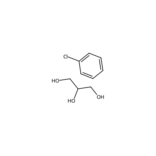 Clc1ccccc1.OCC(O)CO